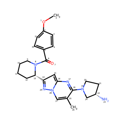 COc1ccc(C(=O)N2CCCC[C@H]2c2cc3nc(N4CC[C@H](N)C4)c(C)cn3n2)cc1